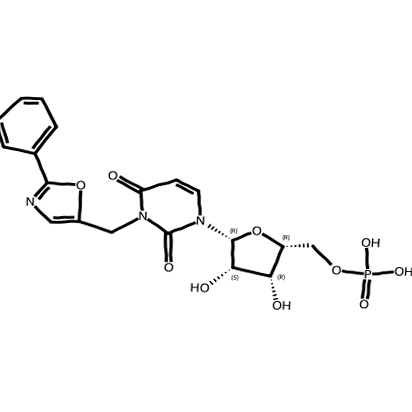 O=c1ccn([C@@H]2O[C@H](COP(=O)(O)O)[C@H](O)[C@@H]2O)c(=O)n1Cc1cnc(-c2ccccc2)o1